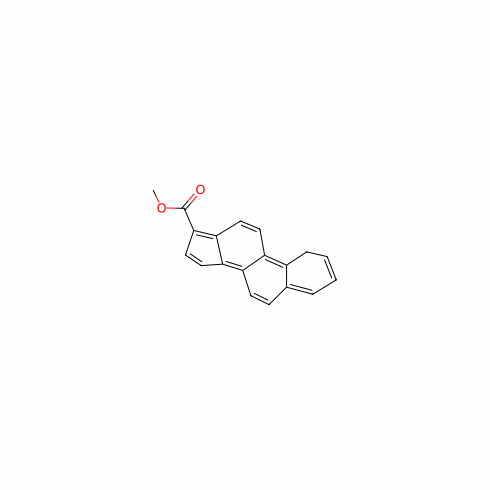 COC(=O)C1=c2ccc3c4c(ccc3c2C=C1)=CC=CC4